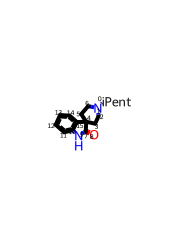 CCCC(C)N1CCC2(CC1)C(=O)Nc1ccccc12